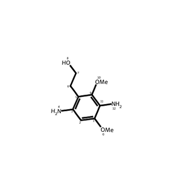 COc1cc(N)c(CCO)c(OC)c1N